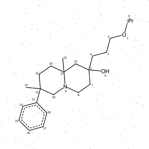 CC(C)OCCCC1(O)CCN2CC(C)(c3ccccc3)CCC2(C)C1